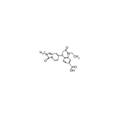 CCN1C(=O)CN(c2ccn3c(=O)n(C)nc3c2)c2ccc(C(=O)O)cc21